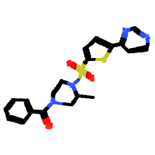 CC1CN(C(=O)c2ccccc2)CCN1S(=O)(=O)c1ccc(-c2ccncn2)s1